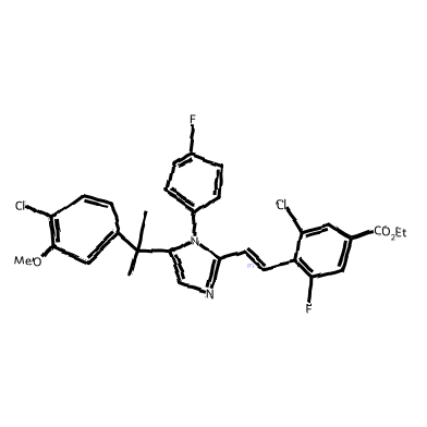 CCOC(=O)c1cc(F)c(/C=C/c2ncc(C(C)(C)c3ccc(Cl)c(OC)c3)n2-c2ccc(F)cc2)c(Cl)c1